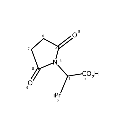 CC(C)C(C(=O)O)N1C(=O)CCC1=O